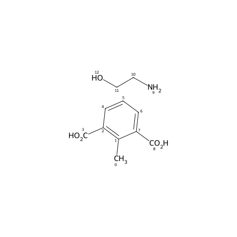 Cc1c(C(=O)O)cccc1C(=O)O.NCCO